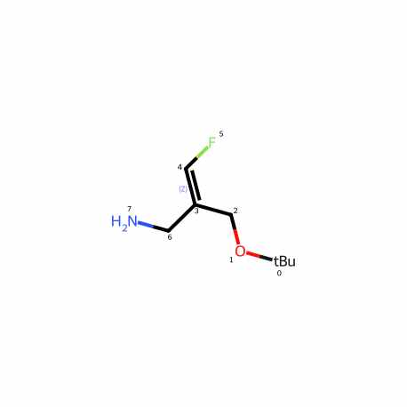 CC(C)(C)OC/C(=C\F)CN